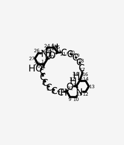 O[C@]12CCCCCC[C@@H]3CCN4CCC[C@@H](CCCCCC[C@@H]5CCN(CCC1)[C@H]2O5)[C@@H]4O3